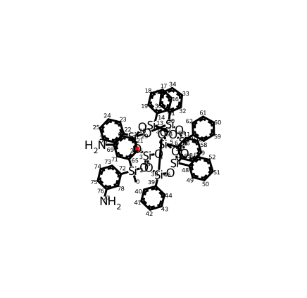 C[Si](O[Si]12O[Si]3(c4ccccc4)O[Si]4(c5ccccc5)O[Si](c5ccccc5)(O1)O[Si]1(c5ccccc5)O[Si](c5ccccc5)(O2)O[Si](c2ccccc2)(O3)O[Si](c2ccccc2)(O4)O1)(c1cccc(N)c1)c1cccc(N)c1